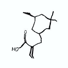 C=C(CC1CC(C)CC(C)(C)C1)C(=O)O